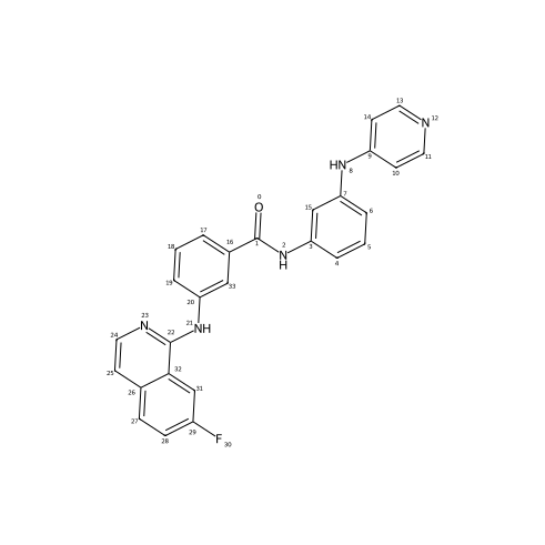 O=C(Nc1cccc(Nc2ccncc2)c1)c1cccc(Nc2nccc3ccc(F)cc23)c1